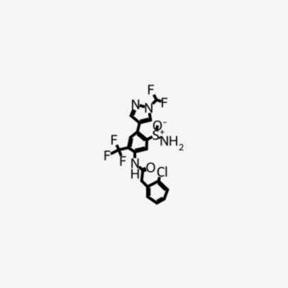 N[S+]([O-])c1cc(NC(=O)Cc2ccccc2Cl)c(C(F)(F)F)cc1-c1cnn(C(F)F)c1